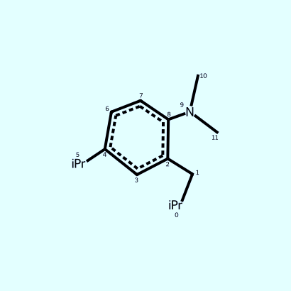 CC(C)Cc1cc(C(C)C)ccc1N(C)C